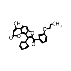 CCCOc1cccc(C(=O)c2oc3ccc4c(C)cc(=O)oc4c3c2-c2ccccc2)c1